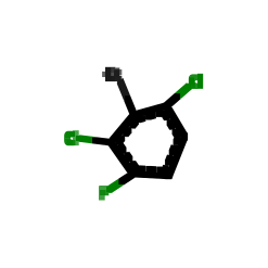 C[CH]c1c(Cl)ccc(F)c1Cl